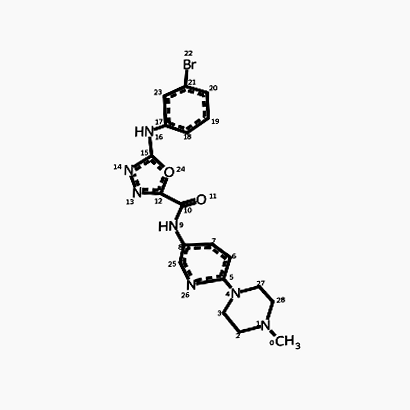 CN1CCN(c2ccc(NC(=O)c3nnc(Nc4cccc(Br)c4)o3)cn2)CC1